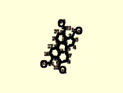 O=[C]c1ccc2c3ccc([C]=O)c4c([C]=O)ccc(c5ccc([C]=O)c1c25)c43